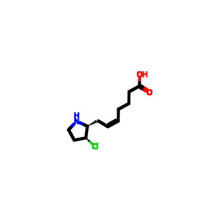 O=C(O)CCC/C=C\C[C@H]1NCC[C@H]1Cl